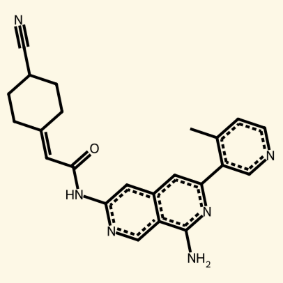 Cc1ccncc1-c1cc2cc(NC(=O)C=C3CCC(C#N)CC3)ncc2c(N)n1